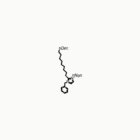 CCCCCCCCCCCCCCCCCCCc1n(Cc2ccccc2)cc[n+]1CCCCCCCCC